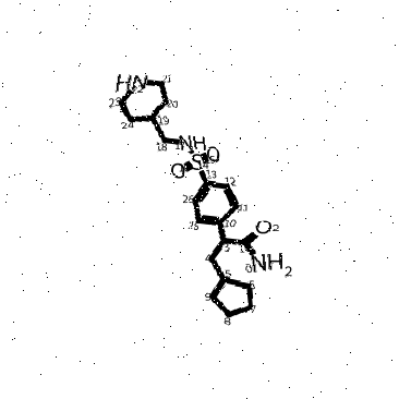 NC(=O)C(CC1CCCC1)c1ccc(S(=O)(=O)NCC2CCNCC2)cc1